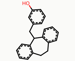 Oc1cccc(CC2c3ccccc3CCc3ccccc32)c1